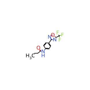 CCCC(=O)Nc1ccc(-c2noc(C(F)(F)F)n2)cc1